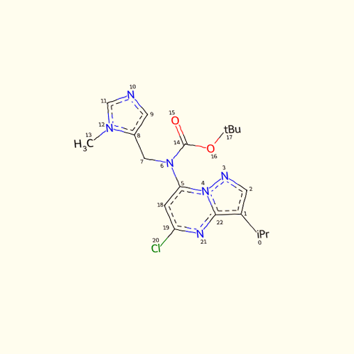 CC(C)c1cnn2c(N(Cc3cncn3C)C(=O)OC(C)(C)C)cc(Cl)nc12